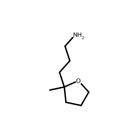 CC1(CCCN)CCCO1